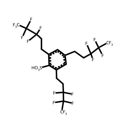 O=S(=O)(O)c1c(CCC(F)(F)C(F)(F)C(F)(F)F)cc(CCC(F)(F)C(F)(F)C(F)(F)F)cc1CCC(F)(F)C(F)(F)C(F)(F)F